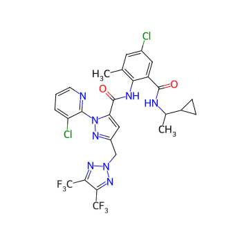 Cc1cc(Cl)cc(C(=O)NC(C)C2CC2)c1NC(=O)c1cc(Cn2nc(C(F)(F)F)c(C(F)(F)F)n2)nn1-c1ncccc1Cl